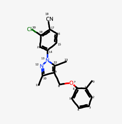 Cc1ccccc1OCc1c(C)nn(-c2ccc(C#N)c(Cl)c2)c1C